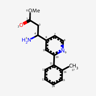 COC(=O)CC(N)c1ccnc(-c2ccccc2C)c1